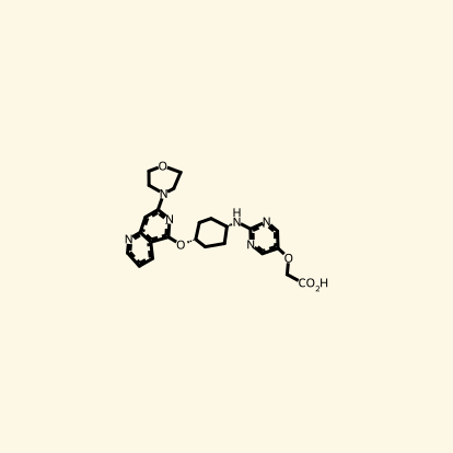 O=C(O)COc1cnc(N[C@H]2CC[C@@H](Oc3nc(N4CCOCC4)cc4ncccc34)CC2)nc1